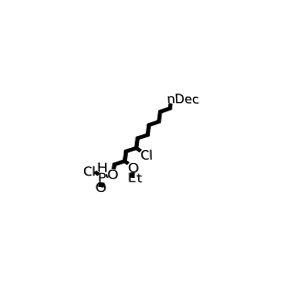 CCCCCCCCCCCCCCCCC(Cl)CC(CO[PH](=O)Cl)OCC